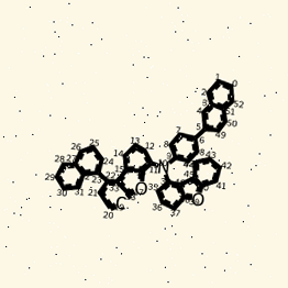 c1ccc2cc(-c3ccc(N(c4cccc5c4oc4cccc(-c6cccc7ccccc67)c45)c4cccc5oc6ccccc6c45)cc3)ccc2c1